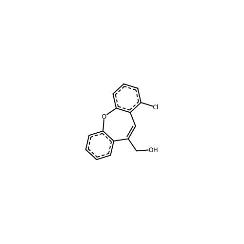 OCC1=Cc2c(Cl)cccc2Oc2ccccc21